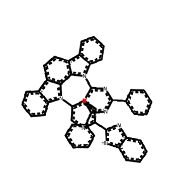 c1ccc(-c2nc(-c3ccccc3)nc(-n3c4ccccc4c4ccc5c6ccccc6n(-c6ccc(-c7nc8ccccc8[nH]7)nc6)c5c43)n2)cc1